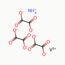 O=C([O-])C(=O)[O-].O=C([O-])C(=O)[O-].O=C([O-])C(=O)[O-].[NH4+].[V+5]